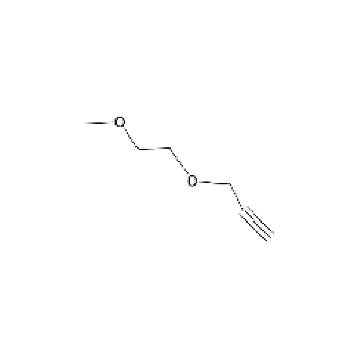 C#CCOCCOC